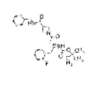 CC(C)(C)OC(=O)N[C@@H](CC(=O)N1CC(C(=O)NCc2ccccc2)C1)Cc1ccccc1F